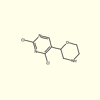 Clc1ncc(C2CNCCO2)c(Cl)n1